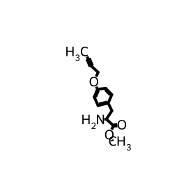 CC#CCOc1ccc(CC(N)C(=O)OC)cc1